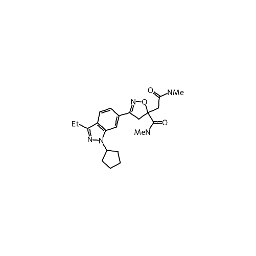 CCc1nn(C2CCCC2)c2cc(C3=NOC(CC(=O)NC)(C(=O)NC)C3)ccc12